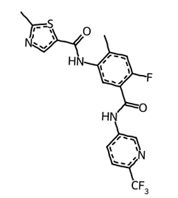 Cc1ncc(C(=O)Nc2cc(C(=O)Nc3ccc(C(F)(F)F)nc3)c(F)cc2C)s1